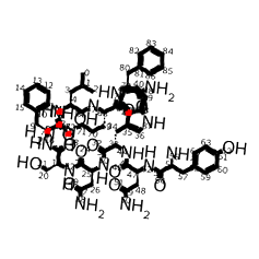 CC(C)C[C@H](NC(=O)[C@H](Cc1ccccc1)NC(=O)[C@H](CO)NC(=O)[C@H](CC(N)=O)NC(=O)[C@H](Cc1c[nH]c2ccccc12)NC(=O)[C@H](CC(N)=O)NC(=O)[C@@H](N)Cc1ccc(O)cc1)C(=O)N[C@@H](CCCNC(=N)N)C(=O)N[C@@H](Cc1ccccc1)C(N)=O